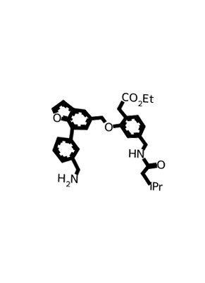 CCOC(=O)Cc1ccc(CNC(=O)CC(C)C)cc1OCc1cc(-c2cccc(CN)c2)c2occc2c1